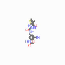 Cc1sc2nc(C(=O)NCc3cc(C#N)c4c(c3)NC(=O)CO4)[nH]c(=O)c2c1C